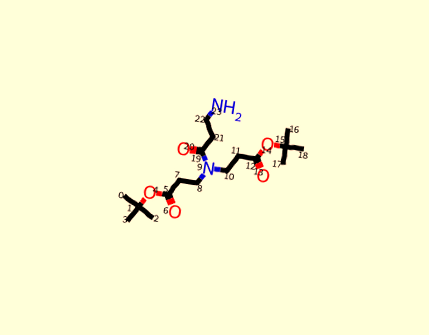 CC(C)(C)OC(=O)CCN(CCC(=O)OC(C)(C)C)C(=O)CCN